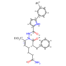 CCOC(=O)/C(=C/CCCC(N)=O)N(NC(=O)c1ccc(-c2cccc(C(C)C)c2)[nH]1)C(=O)CCc1ccccc1